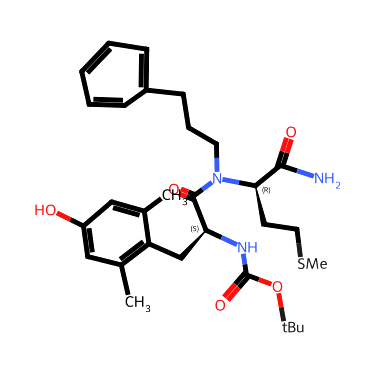 CSCC[C@H](C(N)=O)N(CCCc1ccccc1)C(=O)[C@H](Cc1c(C)cc(O)cc1C)NC(=O)OC(C)(C)C